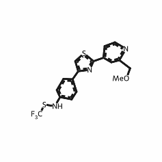 COCc1cc(-c2nc(-c3ccc(NSC(F)(F)F)cc3)cs2)ccn1